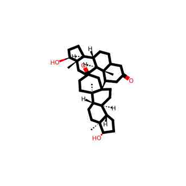 C[C@]12C(CC[C@@H]3[C@@H]1CC[C@]1(C)[C@@H](O)CC[C@@H]31)CC(=O)CC2[C@@]12CC[C@H]3[C@@H]4CC[C@H](O)[C@@]4(C)CC[C@@H]3[C@@]1(C)CCC(=O)C2